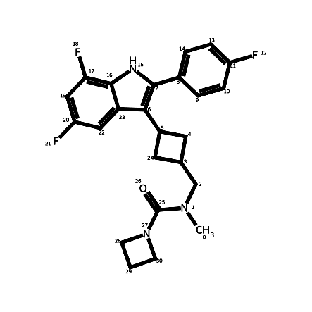 CN(CC1CC(c2c(-c3ccc(F)cc3)[nH]c3c(F)cc(F)cc23)C1)C(=O)N1CCC1